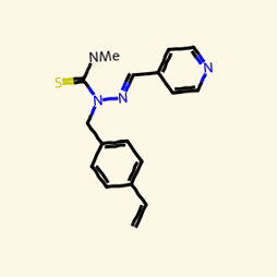 C=Cc1ccc(CN(N=Cc2ccncc2)C(=S)NC)cc1